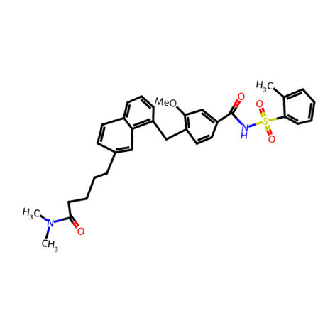 COc1cc(C(=O)NS(=O)(=O)c2ccccc2C)ccc1Cc1cccc2ccc(CCCCC(=O)N(C)C)cc12